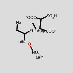 CCCCC(CC)[CH2][Na].CCCCCCCC.O=C([O-])CC(C(=O)[O-])S(=O)(=O)O.O=[N+]([O-])[O-].[La+3]